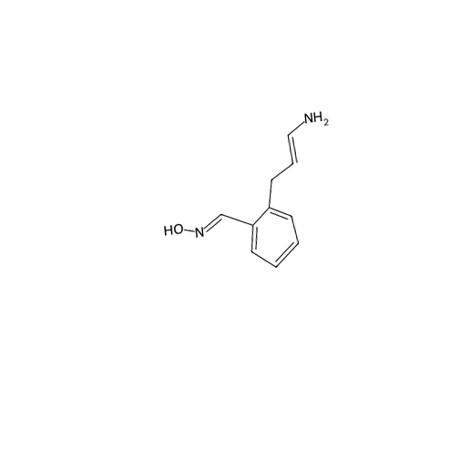 NC=CCc1ccccc1C=NO